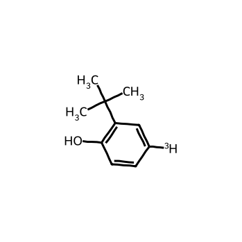 [3H]c1ccc(O)c(C(C)(C)C)c1